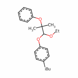 CCOC(Oc1ccc(C(C)CC)cc1)C(C)(C)Oc1ccccc1